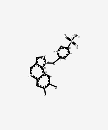 Cc1cc2ncc3cnn(Cc4ccc(S(N)(=O)=O)cn4)c3c2cc1C